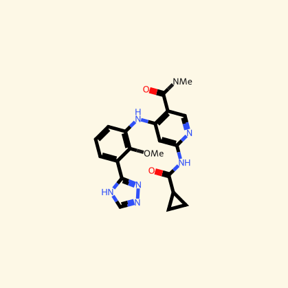 CNC(=O)c1cnc(NC(=O)C2CC2)cc1Nc1cccc(-c2nnc[nH]2)c1OC